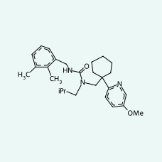 COc1ccc(C2(CN(CC(C)C)C(=O)NCc3cccc(C)c3C)CCCCC2)nc1